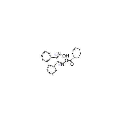 O=C(O/N=C(\C(=N/O)c1ccccc1)c1ccccc1)C1=CCCC=C1